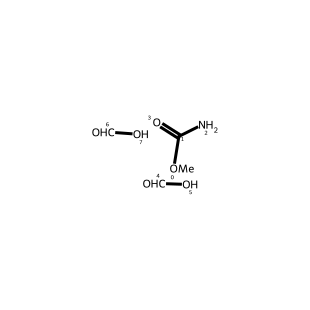 COC(N)=O.O=CO.O=CO